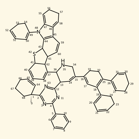 C[C@@]1(c2nc(-c3ccccc3)nc(C3C=C(C4=CC(C5=CC=CCC5)=C(C5=CCCC=C5)CC4)CNC3C3=CC=CC4SC5c6c(c7c(n6C6=CC=CCC6)=CCCC=7)C=CC5C34)n2)C=CCCC1